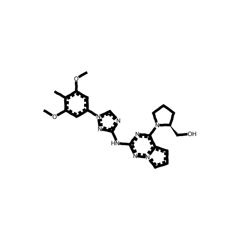 COc1cc(-n2cnc(Nc3nc(N4CCC[C@H]4CO)c4cccn4n3)n2)cc(OC)c1C